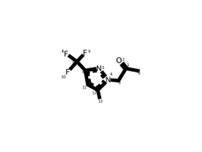 CC(=O)Cn1nc(C(F)(F)F)cc1C